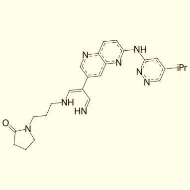 CC(C)c1cnnc(Nc2ccc3ncc(/C(C=N)=C/NCCCN4CCCC4=O)cc3n2)c1